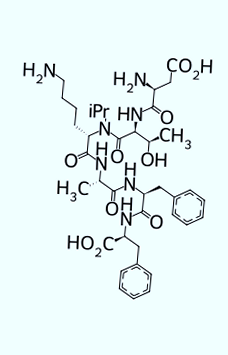 CC(C)N(C(=O)[C@@H](NC(=O)[C@@H](N)CC(=O)O)[C@@H](C)O)[C@@H](CCCCN)C(=O)N[C@@H](C)C(=O)N[C@@H](Cc1ccccc1)C(=O)N[C@@H](Cc1ccccc1)C(=O)O